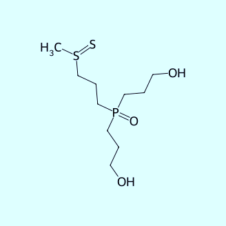 CS(=S)CCCP(=O)(CCCO)CCCO